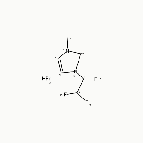 Br.CN1C=CN(C(F)C(F)F)C1